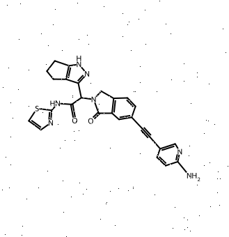 Nc1ccc(C#Cc2ccc3c(c2)C(=O)N(C(C(=O)Nc2nccs2)c2n[nH]c4c2CCC4)C3)cn1